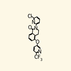 O=C1c2cccc(Oc3ccc(C(F)(F)F)nc3)c2CCN1c1cccc(Cl)n1